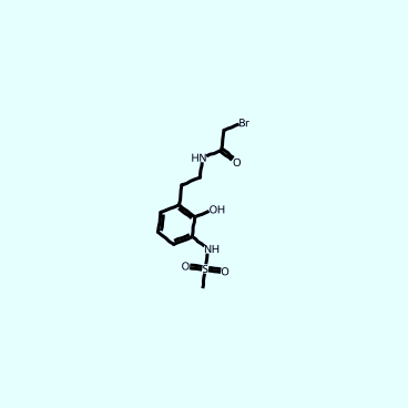 CS(=O)(=O)Nc1cccc(CCNC(=O)CBr)c1O